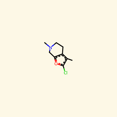 Cc1c(Cl)oc2c1CCN(C)C2